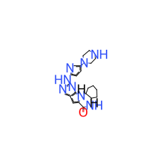 O=C1N[C@@H]2CCCC[C@H]2n2c1cc1cnc(Nc3ccc(N4CCNCC4)cn3)nc12